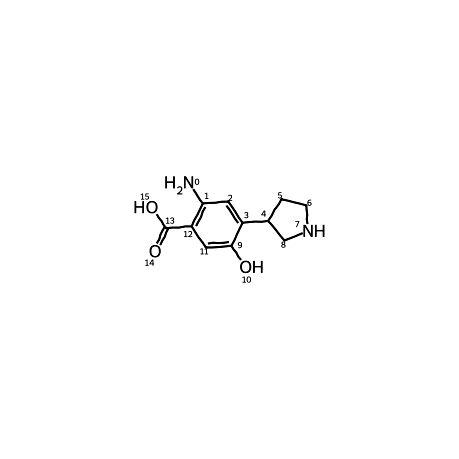 Nc1cc(C2CCNC2)c(O)cc1C(=O)O